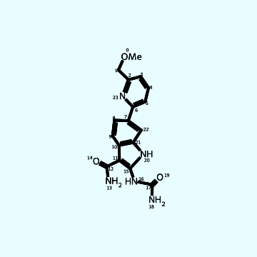 COCc1cccc(-c2ccc3c(C(N)=O)c(NC(N)=O)[nH]c3c2)n1